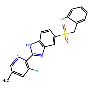 Cc1cnc(-c2nc3cc(S(=O)(=O)Cc4ccccc4Cl)ccc3[nH]2)c(F)c1